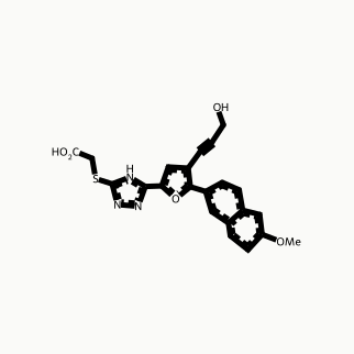 COc1ccc2cc(-c3oc(-c4nnc(SCC(=O)O)[nH]4)cc3C#CCO)ccc2c1